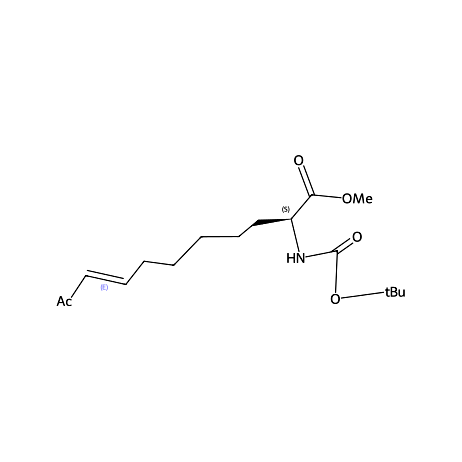 COC(=O)[C@H](CCCCC/C=C/C(C)=O)NC(=O)OC(C)(C)C